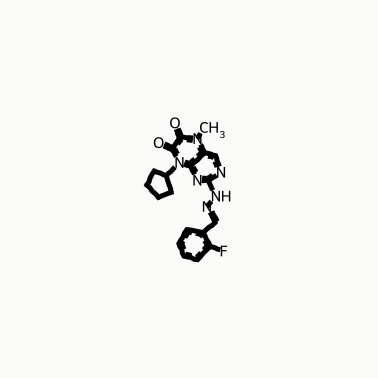 Cn1c(=O)c(=O)n(C2CCCC2)c2nc(N/N=C/c3ccccc3F)ncc21